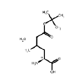 CC(CC(=O)OC(C)(C)C)C[C@H](N)C(=O)O.O